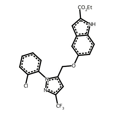 CCOC(=O)c1cc2cc(OCc3cc(C(F)(F)F)nn3-c3ccccc3Cl)ccc2[nH]1